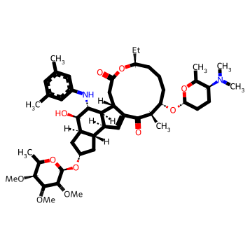 CC[C@H]1CCC[C@H](O[C@H]2CC[C@H](N(C)C)C(C)O2)[C@@H](C)C(=O)C2=C[C@H]3[C@@H]4C[C@H](O[C@@H]5OC(C)[C@H](OC)C(OC)C5OC)C[C@H]4[C@@H](O)[C@H](Nc4cc(C)cc(C)c4)[C@H]3[C@@H]2CC(=O)O1